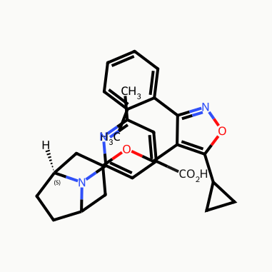 Cc1cc(C(=O)O)cc(N2C3CC[C@H]2CC(OCc2c(-c4ccccc4C)noc2C2CC2)C3)n1